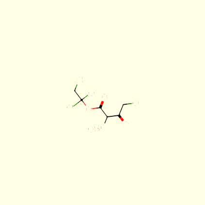 O=CC(C(=O)CCl)C(=O)OC(Cl)(Cl)CCl